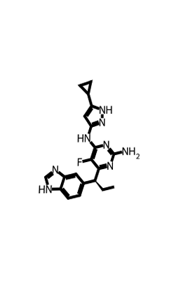 CC[C@@H](c1ccc2[nH]cnc2c1)c1nc(N)nc(Nc2cc(C3CC3)[nH]n2)c1F